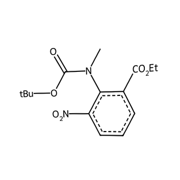 CCOC(=O)c1cccc([N+](=O)[O-])c1N(C)C(=O)OC(C)(C)C